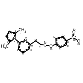 Cc1ccc(C)n1-c1cccc(CCCOc2ccc([N+](=O)[O-])cc2)n1